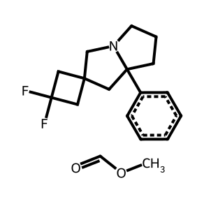 COC=O.FC1(F)CC2(CN3CCCC3(c3ccccc3)C2)C1